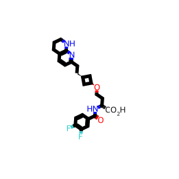 O=C(NC(CCO[C@H]1C[C@@H](CCc2ccc3c(n2)NCCC3)C1)C(=O)O)c1ccc(F)c(F)c1